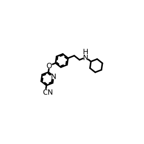 N#Cc1ccc(Oc2ccc(CCNC3CCCCC3)cc2)nc1